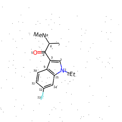 CCn1cc(C(=O)C(C)NC)c2ccc(F)cc21